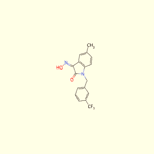 Cc1ccc2c(c1)/C(=N/O)C(=O)N2Cc1cccc(C(F)(F)F)c1